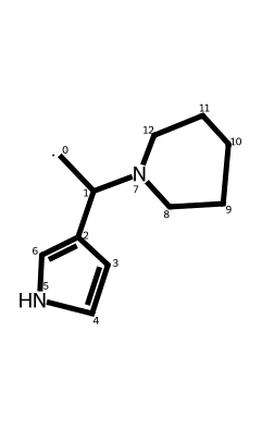 [CH2]C(c1cc[nH]c1)N1CCCCC1